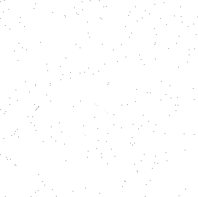 C[n+]1cc2ccccc2c2nn(-c3ccc(C(F)(F)F)cc3)c(O)c21.[OH-]